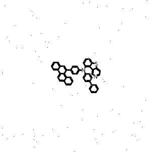 c1ccc(-c2ccc(N(c3ccc(-c4cc5ccccc5c5ccc6ccccc6c45)cc3)c3cccc4sc5ccncc5c34)cc2)cc1